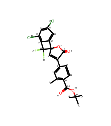 Cc1cc(C2=CC3(OC2=O)c2cc(Cl)cc(Cl)c2C3(F)F)ccc1C(=O)OC(C)(C)C